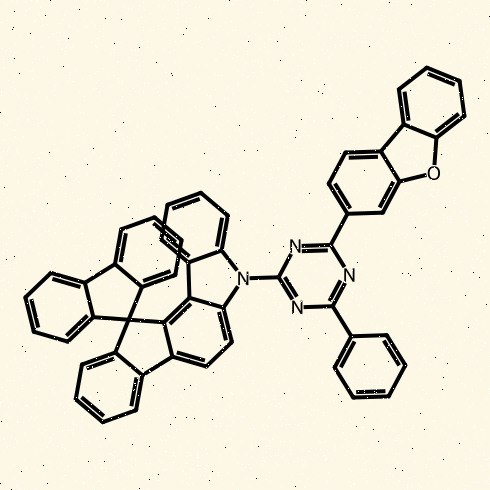 c1ccc(-c2nc(-c3ccc4c(c3)oc3ccccc34)nc(-n3c4ccccc4c4c5c(ccc43)-c3ccccc3C53c4ccccc4-c4ccccc43)n2)cc1